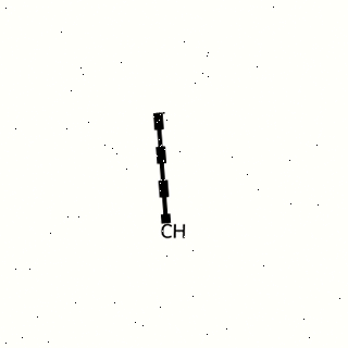 [C]#CC#CC#CC#C